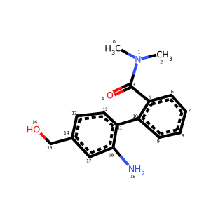 CN(C)C(=O)c1ccccc1-c1ccc(CO)cc1N